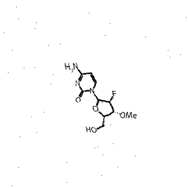 CO[C@H]1[C@H](F)C(n2ccc(N)nc2=O)O[C@@H]1CO